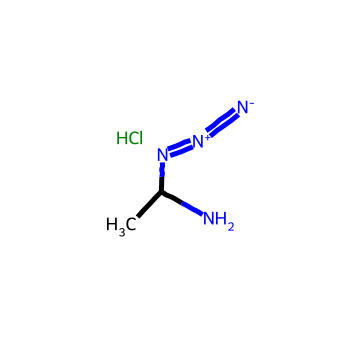 CC(N)N=[N+]=[N-].Cl